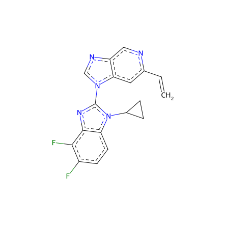 C=Cc1cc2c(cn1)ncn2-c1nc2c(F)c(F)ccc2n1C1CC1